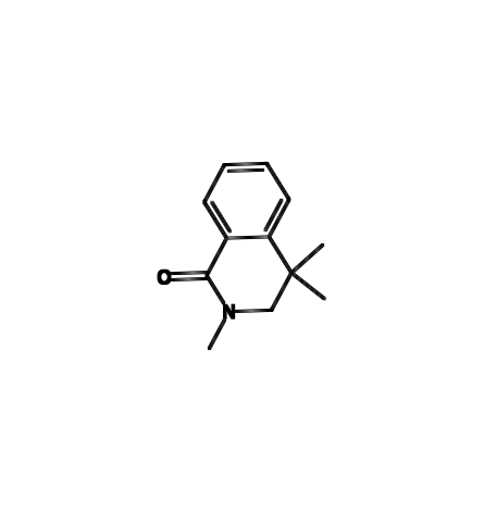 CN1CC(C)(C)c2ccccc2C1=O